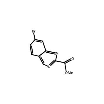 COC(=O)c1ncc2ccc(Br)cc2n1